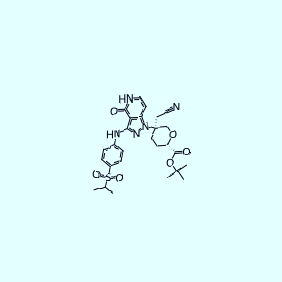 CC(C)S(=O)(=O)c1ccc(Nc2nn([C@]3(CC#N)CC[C@@H](C(=O)OC(C)(C)C)OC3)c3cc[nH]c(=O)c23)cc1